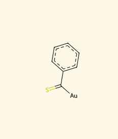 S=[C]([Au])c1ccccc1